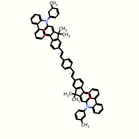 Cc1cccc(N(c2ccc3c(c2)C(C)(C)c2cc(/C=C/c4ccc(/C=C/c5ccc6c(c5)C(C)(C)c5cc(N(C7=CC=CC(C)C7)c7ccccc7-c7ccccc7)ccc5-6)cc4)ccc2-3)c2ccccc2-c2ccccc2)c1